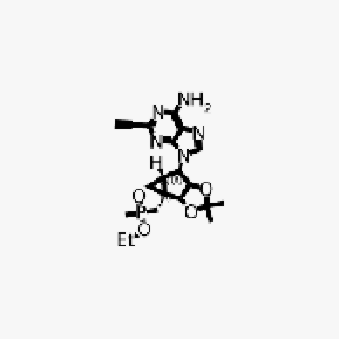 C#Cc1nc(N)c2ncn([C@H]3C4OC(C)(C)OC4[C@@]4(CP(C)(=O)OCC)C[C@H]34)c2n1